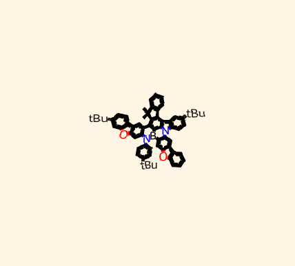 CC(C)(C)c1ccc(N2B3c4cc5oc6ccccc6c5cc4-n4c5ccc(C(C)(C)C)cc5c5c6c(c(c3c54)-c3cc4c(cc32)oc2cc(C(C)(C)C)ccc24)C(C)(C)c2ccccc2-6)cc1